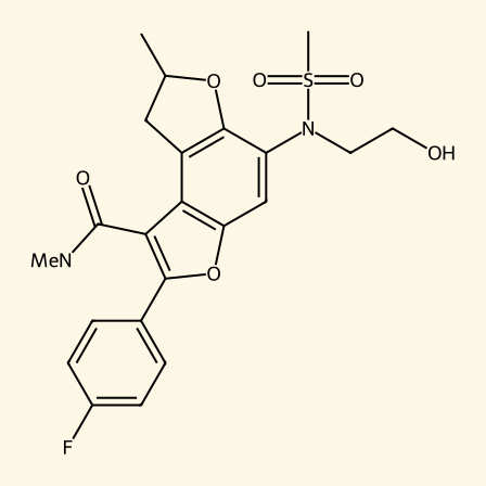 CNC(=O)c1c(-c2ccc(F)cc2)oc2cc(N(CCO)S(C)(=O)=O)c3c(c12)CC(C)O3